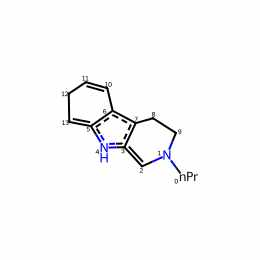 CCCN1C=c2[nH]c3c(c2CC1)C=CCC=3